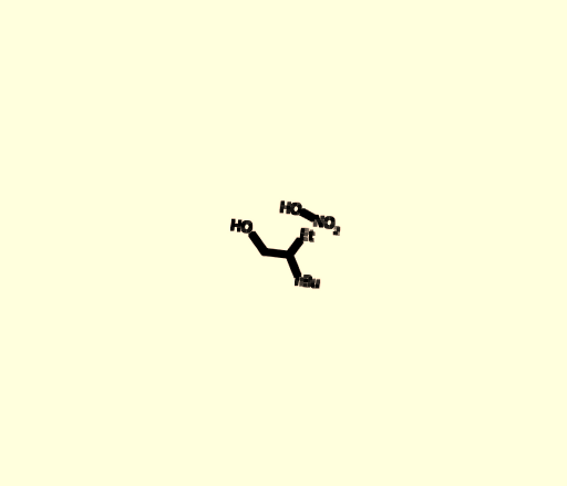 CCCCC(CC)CO.O=[N+]([O-])O